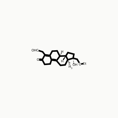 CCOC[C@]1(O)CC[C@H]2[C@@H]3CCC4=C(CC=O)C(=O)CCC4=C3CC[C@@]21C